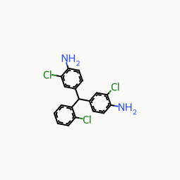 Nc1ccc(C(c2ccc(N)c(Cl)c2)c2ccccc2Cl)cc1Cl